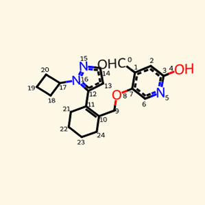 O=Cc1cc(O)ncc1OCC1=C(c2ccnn2C2CCC2)CCCC1